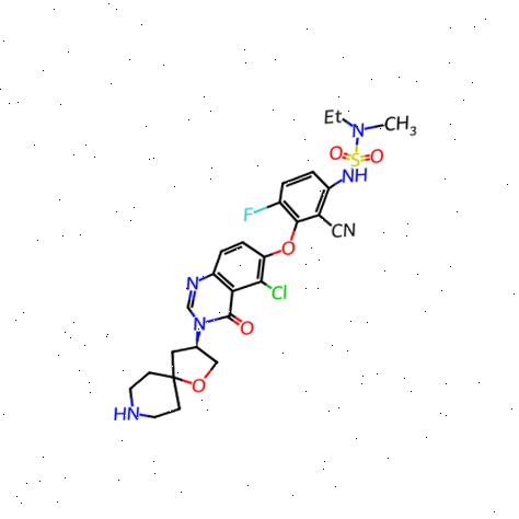 CCN(C)S(=O)(=O)Nc1ccc(F)c(Oc2ccc3ncn([C@H]4COC5(CCNCC5)C4)c(=O)c3c2Cl)c1C#N